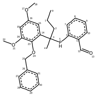 CCCC(C)(Pc1ccccc1C=O)c1cc(OC)cc(OC)c1OCc1ccccc1